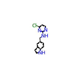 Clc1ccnc(NCc2ccc3[nH]ccc3c2)n1